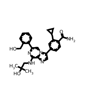 CC(C)(O)CNc1nc(-c2ccccc2CO)cn2c(-c3ccc(C(N)=O)c(C4CC4)c3)cnc12